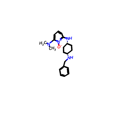 CN(C)c1cccc(N[C@H]2CC[C@@H](NCc3ccccc3)CC2)[n+]1[O-]